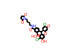 O=C1C=C2Oc3cc(O)c(Cl)cc3C(c3ccc(C(=O)NCCCCN4C(=O)C=CC4=O)cc3C(=O)O)C2C=C1Cl